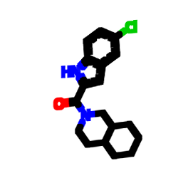 O=C(c1cc2cc(Cl)ccc2[nH]1)N1CCC2CCCCC2C1